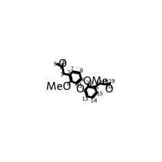 COc1c(CC2CO2)cccc1Oc1cccc(CC2CO2)c1OC